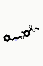 CCOC(=O)c1ccc(OC/C=C/Cc2ccccc2)c(I)c1